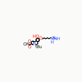 CC(C)(C)[C@H]1Cc2cc(OCCCCCCNN=N)c(O)cc2-c2cc(=O)c(C(=O)N=O)cn21